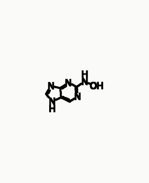 ONc1ncc2[nH]cnc2n1